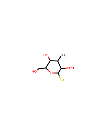 BC1C(O)C(S)OC(CO)C1O